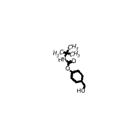 CC(C)(C)NC(=O)OC1CCC(CO)CC1